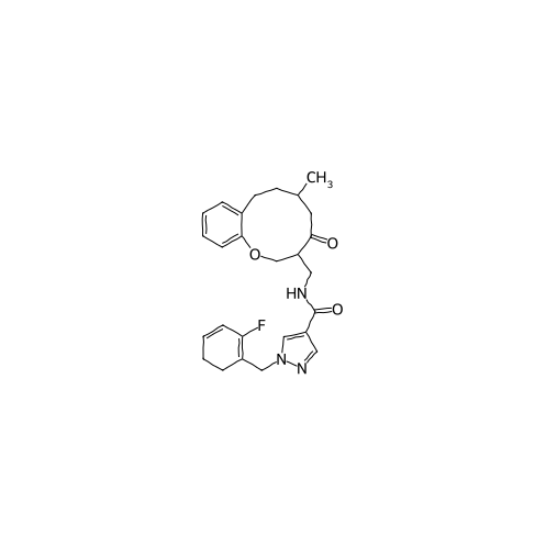 CC1CCc2ccccc2OCC(CNC(=O)c2cnn(CC3=C(F)C=CCC3)c2)C(=O)C1